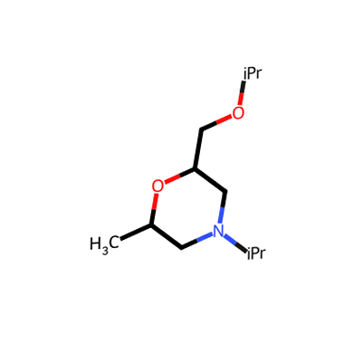 CC(C)OCC1CN(C(C)C)CC(C)O1